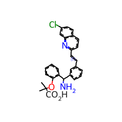 CC(C)(Oc1ccccc1C(N)c1cccc(/C=C/c2ccc3ccc(Cl)cc3n2)c1)C(=O)O